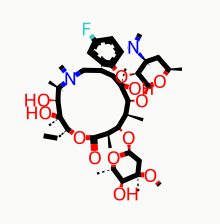 CC[C@H]1OC(=O)[C@H](C)[C@@H](O[C@H]2C[C@@](C)(OC)[C@@H](O)[C@H](C)O2)[C@H](C)[C@@H](O[C@@H]2O[C@H](C)C[C@H](N(C)C)[C@H]2Oc2ccc(F)cc2)[C@](C)(O)C[C@@H](C)CN(C)[C@H](C)[C@@H](O)[C@]1(C)O